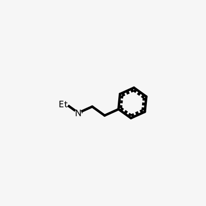 CC[N]CCc1ccccc1